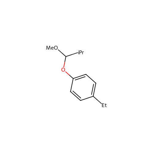 CCc1ccc(OC(OC)C(C)C)cc1